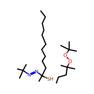 CCCC(C)(C)OOC(C)(C)C.CCCCCCCCCCC(C)(S)N=NC(C)(C)C